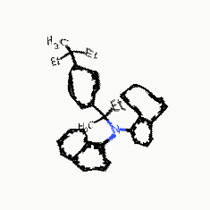 CCC(C)(CC)c1ccc(C(C)(CC)N(c2cccc3ccccc23)c2cccc3ccccc23)cc1